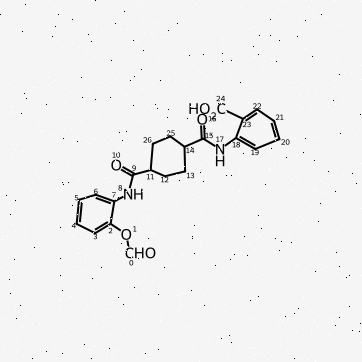 O=COc1ccccc1NC(=O)C1CCC(C(=O)Nc2ccccc2C(=O)O)CC1